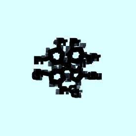 CC(C)c1cc(C(C)C)cc([Si](C2=[C]([Ti+3])C(C(C)(C)C)=CC2)(c2cc(C(C)C)cc(C(C)C)c2)c2cc(C(C)C)cc(C(C)C)c2)c1.[Cl-].[Cl-].[Cl-]